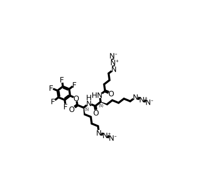 [N-]=[N+]=NCCCCC[C@H](NC(=O)CCCN=[N+]=[N-])C(=O)N[C@@H](CCCCN=[N+]=[N-])C(=O)Oc1c(F)c(F)c(F)c(F)c1F